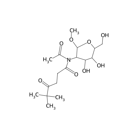 COC1OC(CO)C(O)C(O)C1N(C(C)=O)C(=O)CCC(=O)C(C)(C)C